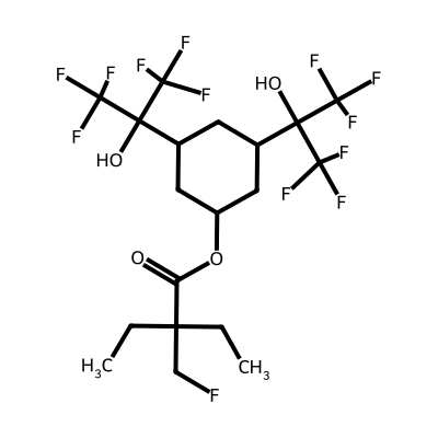 CCC(CC)(CF)C(=O)OC1CC(C(O)(C(F)(F)F)C(F)(F)F)CC(C(O)(C(F)(F)F)C(F)(F)F)C1